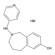 Br.Oc1ccc2c(c1)CCCN(Nc1ccncc1)C2